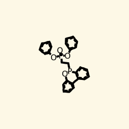 O=P(CCP1Oc2ccccc2-c2ccccc21)(Oc1ccccc1)Oc1ccccc1